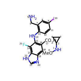 CONC1CC1.NCc1cc(I)ccc1Nc1c(C(=O)O)cc2nc[nH]c2c1F